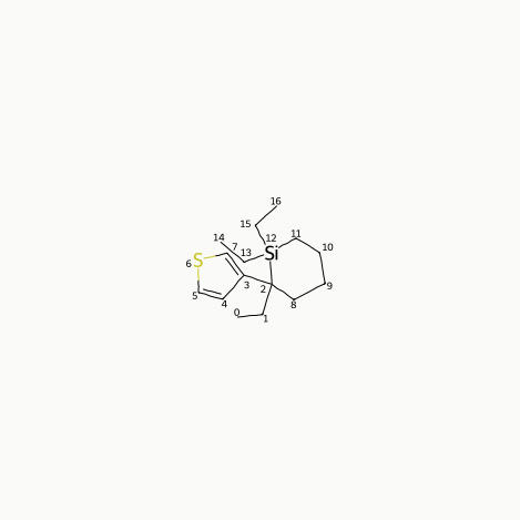 CCC1(c2ccsc2)CCCC[Si]1(CC)CC